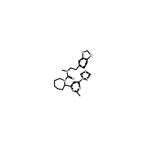 Cc1nc(C2CCCCCN2C(=O)N(C)CCc2ccc3c(c2)OCO3)cc(-n2cncn2)n1